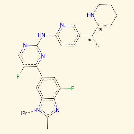 Cc1nc2c(F)cc(-c3nc(Nc4ccc([C@@H](C)[C@H]5CCCCN5)cn4)ncc3F)cc2n1C(C)C